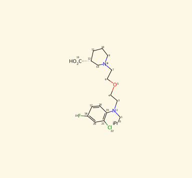 CC(C)CN(CCOCCN1CCC[C@@H](C(=O)O)C1)c1ccc(F)cc1Cl